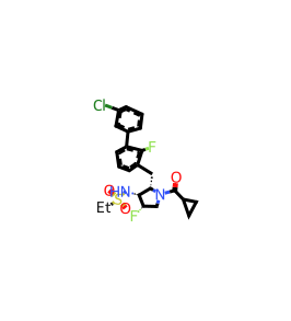 CCS(=O)(=O)N[C@H]1[C@@H](F)CN(C(=O)C2CC2)[C@H]1Cc1cccc(-c2cccc(Cl)c2)c1F